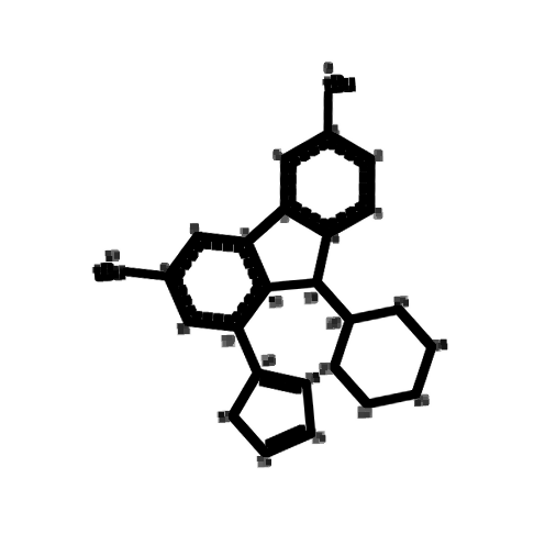 CC(C)(C)c1ccc2c(c1)-c1cc(C(C)(C)C)cc(C3=CC=CC3)c1C2C1CCCCC1